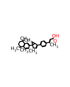 CC(=CC(=O)O)c1ccc(C2=CCC3(c4cc5c(cc4C)C(C)(C)CCC5(C)C)CC23)cc1